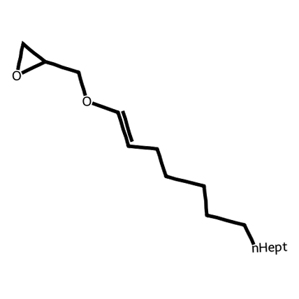 CCCCCCCCCCCC/C=C/OCC1CO1